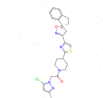 O=C(Cn1nc(C(F)(F)F)cc1Cl)N1CCC(c2nc(C3=NO[C@]4(CCc5ccccc54)C3)cs2)CC1